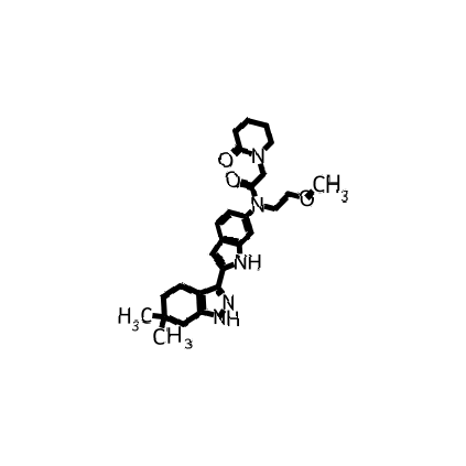 COCCN(C(=O)CN1CCCCC1=O)c1ccc2cc(-c3n[nH]c4c3CCC(C)(C)C4)[nH]c2c1